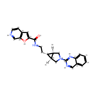 O=C(NCC[C@@H]1[C@H]2CN(c3ncc4ccccc4n3)C[C@@H]12)c1cc2ccncc2o1